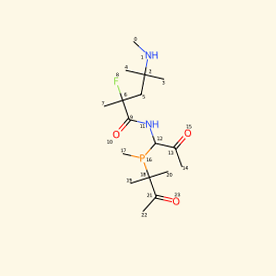 CNC(C)(C)CC(C)(F)C(=O)NC(C(C)=O)P(C)C(C)(C)C(C)=O